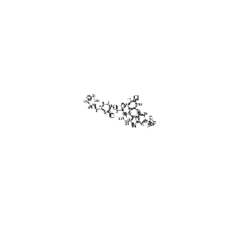 O=C(COc1ccc(CN2CCOCC2)cc1Cl)N1CCc2nc3cc(C(F)(F)F)ccn3c2C1c1ccc(Cl)cc1F